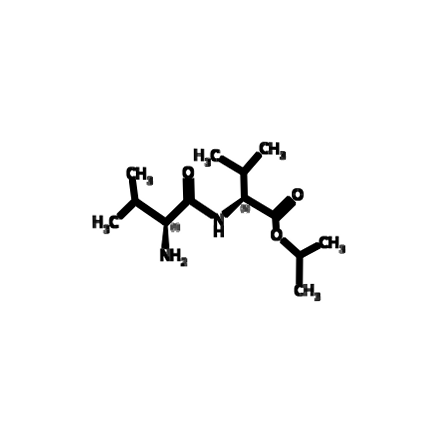 CC(C)OC(=O)[C@@H](NC(=O)[C@@H](N)C(C)C)C(C)C